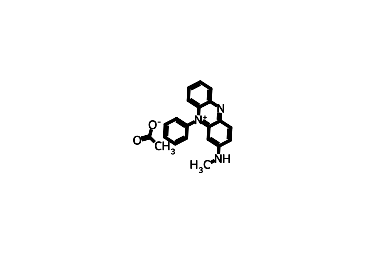 CC(=O)[O-].CNc1ccc2nc3ccccc3[n+](-c3ccccc3)c2c1